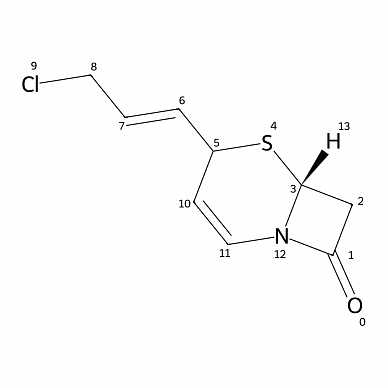 O=C1C[C@H]2SC(/C=C/CCl)C=CN12